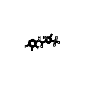 Cc1[nH]c(C(=O)Nc2ccc(F)c(C)c2F)cc1S(=O)(=O)Cl